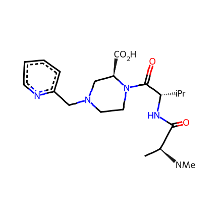 CN[C@@H](C)C(=O)N[C@H](C(=O)N1CCN(Cc2ccccn2)C[C@H]1C(=O)O)C(C)C